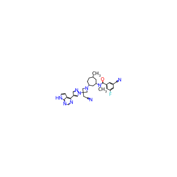 CC1CCC(N2CC(CC#N)(n3cc(-c4ncnc5[nH]ccc45)cn3)C2)CC(N(C)C(=O)c2cc(F)cc(C#N)c2)C1